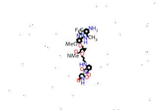 CNC(=O)C(CC1(COc2cc3c(N[C@H](C)c4cc(N)cc(C(F)(F)F)c4)nc(C)nc3cc2OC)CC1)OCCCCNc1cccc2c1C(=O)N(C1CCC(=O)NC1=O)C2=O